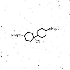 CCCCCCCC1CCC([C@]2(C#N)CC[C@@H](CCCCCCC)CC2)CC1